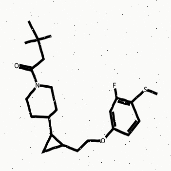 CSc1ccc(OCCC2CC2C2CCN(C(=O)CC(C)(C)C)CC2)cc1F